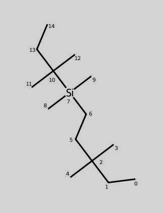 CCC(C)(C)CC[Si](C)(C)C(C)(C)CC